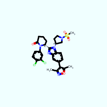 Cc1noc(C)c1-c1ccc2c(c1)nc([C@H]1CCCC(=O)N1c1ccc(Cl)c(Cl)c1)n2[C@@H]1CCN(S(C)(=O)=O)C1